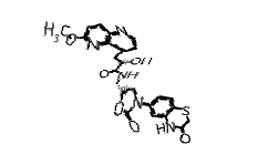 COc1ccc2nccc(C[C@H](O)C(=O)NC[C@@H]3CN(c4ccc5c(c4)NC(=O)CS5)C(=O)O3)c2n1